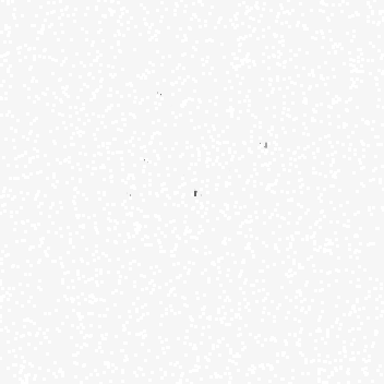 Cc1ncc(C(=O)NC(Cc2coc3ccccc23)C(=O)C(N)=O)n1-c1ccncc1